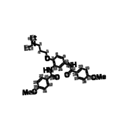 CCN(CC)CCCOc1ccc(NC(=O)c2ccc(OC)cc2)cc1NC(=O)c1ccc(OC)cc1